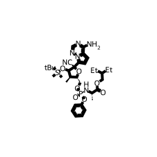 CCC(CC)COC(=O)[C@H](C)N[P@](=O)(OC[C@H]1O[C@@](C#N)(c2ccc3c(N)ncnn23)C(O[Si](C)(C)C(C)(C)C)[C@@H]1C)Oc1ccccc1